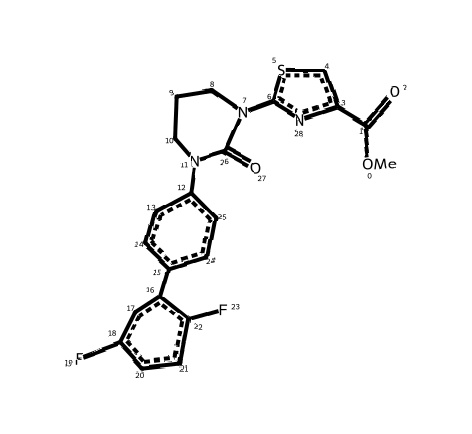 COC(=O)c1csc(N2CCCN(c3ccc(-c4cc(F)ccc4F)cc3)C2=O)n1